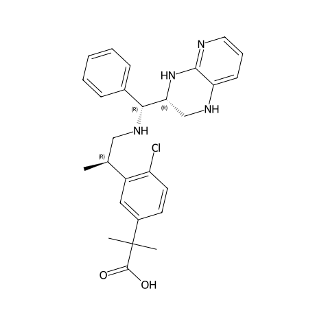 C[C@@H](CN[C@H](c1ccccc1)[C@H]1CNc2cccnc2N1)c1cc(C(C)(C)C(=O)O)ccc1Cl